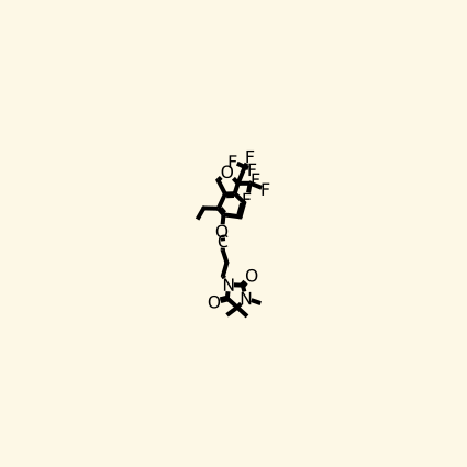 CCc1c(OCCCCN2C(=O)N(C)C(C)(C)C2=O)ccc2c1COC2(C(F)(F)F)C(F)(F)F